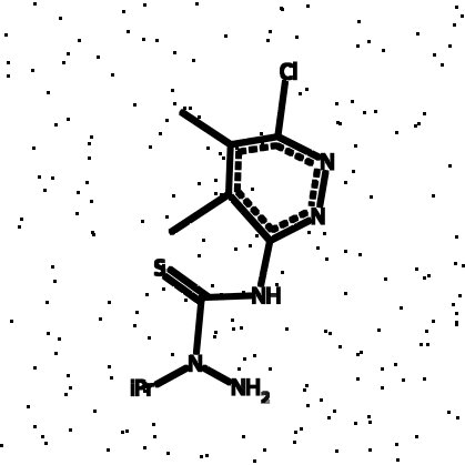 Cc1c(Cl)nnc(NC(=S)N(N)C(C)C)c1C